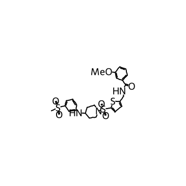 COc1cccc(C(=O)NCc2ccc(S(=O)(=O)N3CCC(Nc4cccc(S(C)(=O)=O)c4)CC3)s2)c1